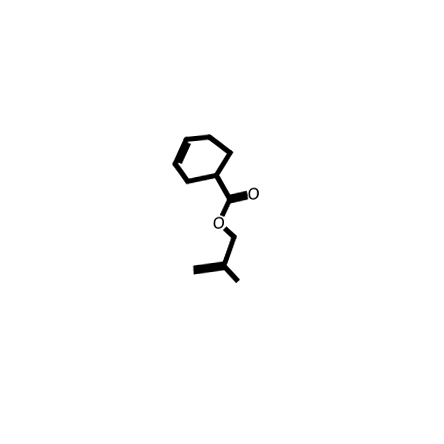 C=C(C)COC(=O)C1CC=CCC1